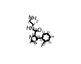 NCCNC(=O)c1ncsc1-c1ccccc1F